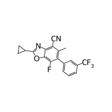 Cc1c(-c2cccc(C(F)(F)F)c2)c(F)c2oc(C3CC3)nc2c1C#N